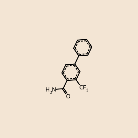 NC(=O)c1ccc(-c2ccccc2)cc1C(F)(F)F